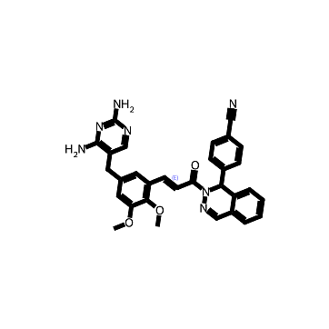 COc1cc(Cc2cnc(N)nc2N)cc(/C=C/C(=O)N2N=Cc3ccccc3C2c2ccc(C#N)cc2)c1OC